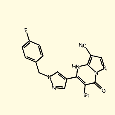 CC(C)c1c(-c2cnn(Cc3ccc(F)cc3)c2)[nH]c2c(C#N)cnn2c1=O